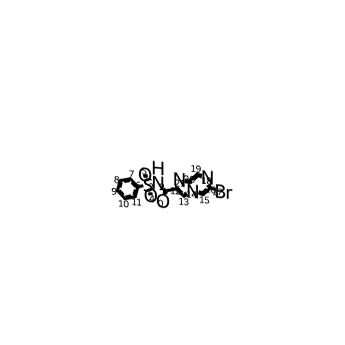 O=C(NS(=O)(=O)c1ccccc1)c1cn2cc(Br)ncc2n1